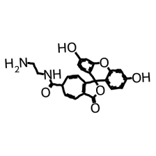 NCCNC(=O)C1C=CC2=C(C=C1)C1(OC2=O)c2ccc(O)cc2Oc2cc(O)ccc21